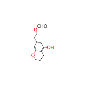 O=COCCc1cc(O)c2c(c1)OCCC2